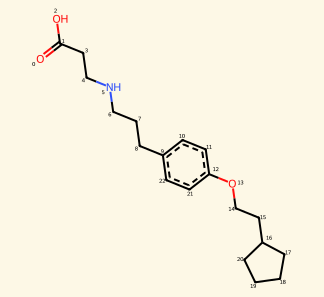 O=C(O)CCNCCCc1ccc(OCCC2CCCC2)cc1